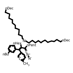 CCCCCCC(C(=C=[N+]=[N-])CCCCC)=C(c1ccc(C)cc1)c1cccc(CCCC)c1.CCCCCCCCCCCCCCCCCCCC[CH2][Ni][CH2]CCCCCCCCCCCCCCCCCCCC